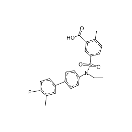 CCN(c1ccc(-c2ccc(F)c(C)c2)cc1)S(=O)(=O)c1ccc(C)c(C(=O)O)c1